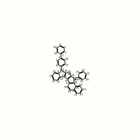 c1ccc(-c2ccc(-n3c4ccccc4c4c5c6ccc7ccccc7c6n(-c6ccccc6)c5sc43)cc2)cc1